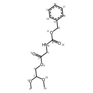 COC(COC(=O)CNC(=O)OCc1ccccc1)OC